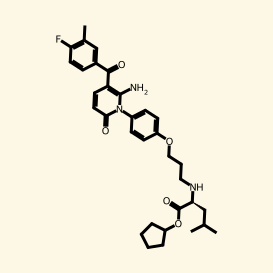 Cc1cc(C(=O)c2ccc(=O)n(-c3ccc(OCCCN[C@@H](CC(C)C)C(=O)OC4CCCC4)cc3)c2N)ccc1F